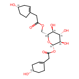 O=C(CC1=CC[C@@H](O)CC1)OC[C@H]1O[C@@H](OC(=O)CC2=CC[C@@H](O)CC2)[C@H](O)[C@@H](O)[C@@H]1O